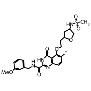 COc1cccc(CNC(=O)c2nc3ccc(F)c(OCCC4CC(NS(C)(=O)=O)CO4)c3c(=O)[nH]2)c1